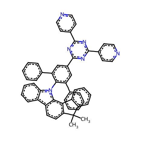 CC1(C)c2ccccc2-c2c1ccc1c3ccccc3n(-c3c(-c4ccccc4)cc(-c4nc(-c5ccncc5)nc(-c5ccncc5)n4)cc3-c3ccccc3)c21